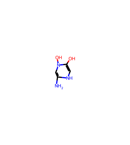 NC1=CN(O)C(O)=CN1